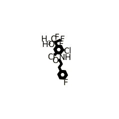 CC(O)(c1cc(Cl)c(NC(=O)CCc2ccc(F)cc2)c(Cl)c1)C(F)(F)F